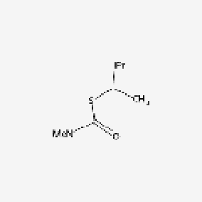 CNC(=O)SC(C)C(C)C